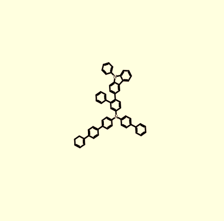 C1=CCCC(c2ccc(-c3ccc(N(c4ccc(-c5ccccc5)cc4)c4ccc(-c5ccc6c(c5)c5ccccc5n6-c5ccccc5)c(-c5ccccc5)c4)cc3)cc2)=C1